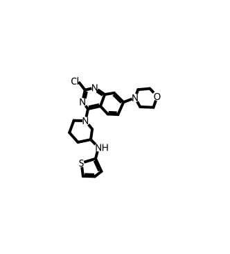 Clc1nc(N2CCCC(Nc3cccs3)C2)c2ccc(N3CCOCC3)cc2n1